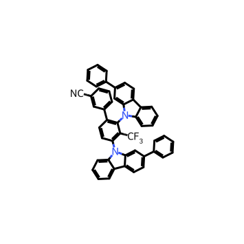 N#Cc1cccc(-c2ccc(-n3c4ccccc4c4ccc(-c5ccccc5)cc43)c(C(F)(F)F)c2-n2c3ccccc3c3ccc(-c4ccccc4)cc32)c1